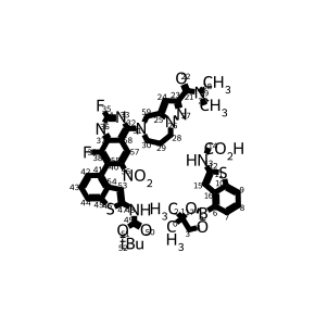 CC1(C)COB(c2cccc3sc(NC(=O)O)cc23)O1.CN(C)C(=O)c1cc2n(n1)CCCN(c1nc(F)nc3c(F)c(-c4cccc5sc(NC(=O)OC(C)(C)C)cc45)c([N+](=O)[O-])cc13)C2